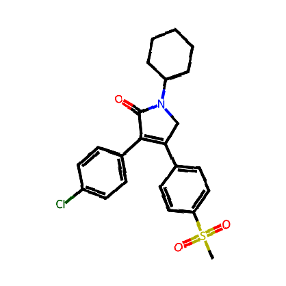 CS(=O)(=O)c1ccc(C2=C(c3ccc(Cl)cc3)C(=O)N(C3CCCCC3)C2)cc1